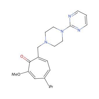 COc1cc(C(C)C)ccc(CN2CCN(c3ncccn3)CC2)c1=O